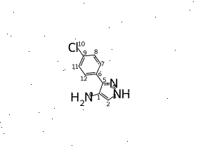 Nc1c[nH]nc1-c1ccc(Cl)cc1